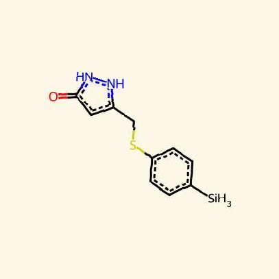 O=c1cc(CSc2ccc([SiH3])cc2)[nH][nH]1